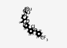 CC(C1CCN(C(=O)OC(C)(C)C)CC1)n1ccc(-c2cccc(Oc3ccc(C(F)(F)F)cc3)c2Cl)cc1=O